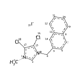 Cn1c[n+](Cc2ccc3ccccc3c2)c(Cl)c1Cl.[I-]